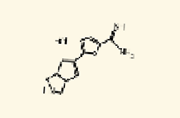 Cl.N=C(N)c1ccc(C2=CC3CNCC3C2)s1